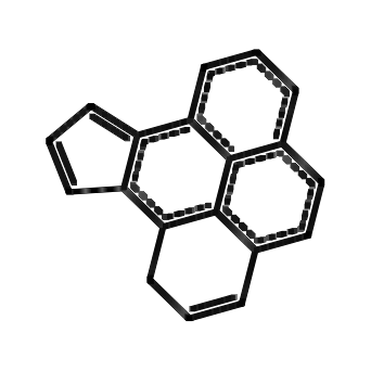 C1=Cc2c3c4c(ccc5cccc(c2=C1)c54)C=CC3